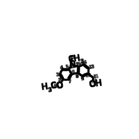 COc1ccc2c(c1)c1cc(CO)ccc1n2C